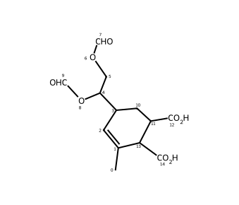 CC1=CC(C(COC=O)OC=O)CC(C(=O)O)C1C(=O)O